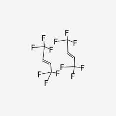 FC(F)(F)C=CC(F)(F)F.FC(F)(F)C=CC(F)(F)F